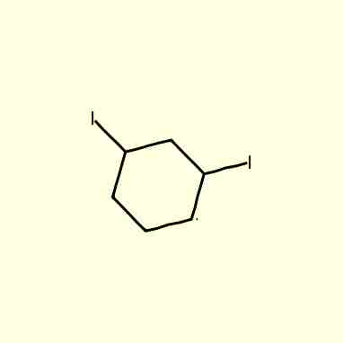 IC1[CH]CCC(I)C1